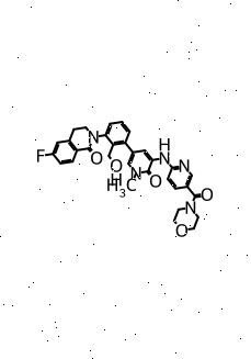 Cn1cc(-c2cccc(N3CCc4cc(F)ccc4C3=O)c2CO)cc(Nc2ccc(C(=O)N3CCOCC3)cn2)c1=O